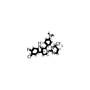 CN(C)c1ccc(C2c3[nH]c4cc(F)c(Cl)cc4c3CCN2c2nccc(C(F)(F)F)n2)cc1